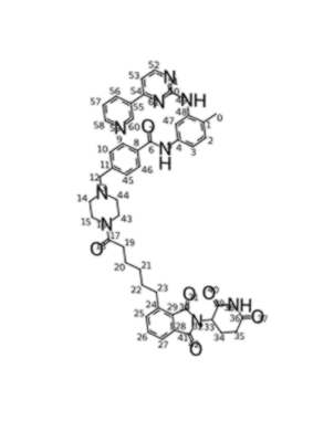 Cc1ccc(NC(=O)c2ccc(CN3CCN(C(=O)CCCCCc4cccc5c4C(=O)N(C4CCC(=O)NC4=O)C5=O)CC3)cc2)cc1Nc1nccc(-c2cccnc2)n1